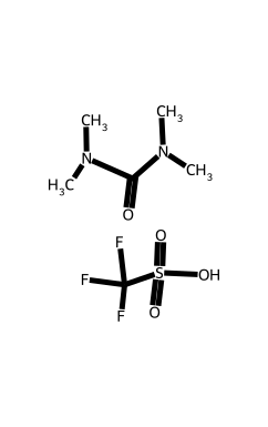 CN(C)C(=O)N(C)C.O=S(=O)(O)C(F)(F)F